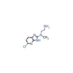 CN(CCN)c1nc2ccc(Cl)nc2[nH]1